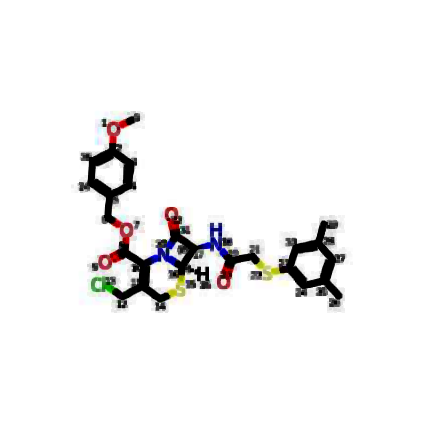 COc1ccc(COC(=O)C2=C(CCl)CS[C@@H]3[C@H](NC(=O)CSc4cc(C)cc(C)c4)C(=O)N23)cc1